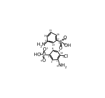 Nc1cc(S(=O)(=O)O)ccc1Cl.Nc1cccc(S(=O)(=O)O)c1